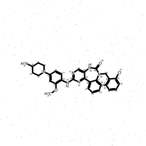 COc1cc(N2CCC(N)CC2)ccc1Nc1ncc2c(n1)-c1ccccc1N(Cc1c(F)cccc1Cl)C(=O)N2